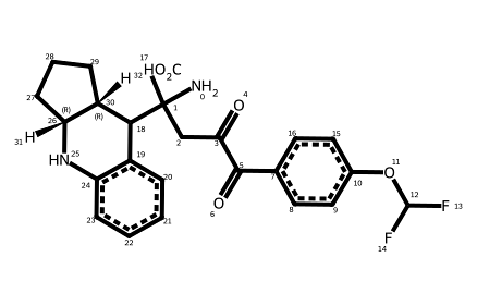 NC(CC(=O)C(=O)c1ccc(OC(F)F)cc1)(C(=O)O)C1c2ccccc2N[C@@H]2CCC[C@H]12